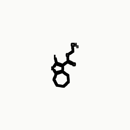 CCOC(=O)c1c(I)sc2c1CCCCC2